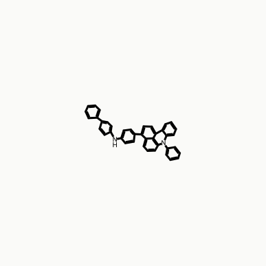 c1ccc(-c2ccc(Nc3ccc(-c4ccc5c6c(cccc46)N(c4ccccc4)c4ccccc4-5)cc3)cc2)cc1